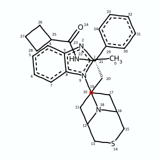 Cc1nc2ccccc2n1C1CC2CSCC(C1)N2CC[C@H](NC(=O)C1CCC1)c1ccccc1